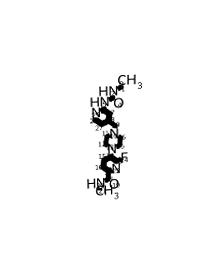 CCNC(=O)Nc1cc(CN2CCN(c3ccc(C(=O)NC)nc3F)CC2)ccn1